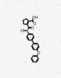 O=C(O)C1=C(C(=O)N(Cl)c2ccc(-c3ccc(Oc4ccccc4)cc3)cc2)CCC1